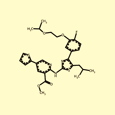 COC(=O)c1cc(-c2cccs2)cnc1Nc1nc(-c2ccc(F)c(OCCOC(C)C)c2)c(CC(C)C)s1